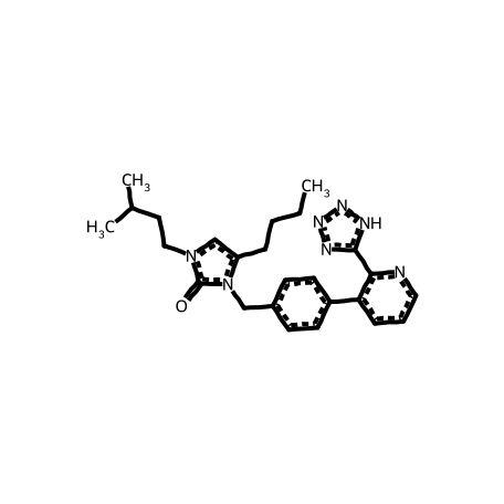 CCCCc1cn(CCC(C)C)c(=O)n1Cc1ccc(-c2cccnc2-c2nnn[nH]2)cc1